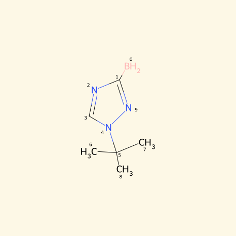 Bc1ncn(C(C)(C)C)n1